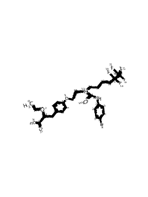 CCOC(Cc1ccc(OCCN(CCCCC(F)(F)C(F)(F)F)C(=O)Nc2ccc(Br)cc2)cc1)C(=O)O